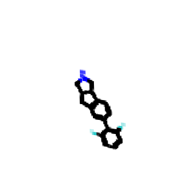 Fc1cccc(F)c1-c1ccc2c(c1)CC1CNCC21